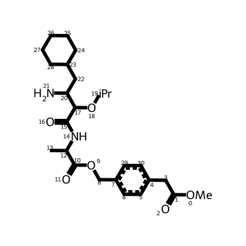 COC(=O)Cc1ccc(COC(=O)C(C)NC(=O)C(OC(C)C)C(N)CC2CCCCC2)cc1